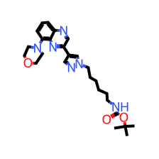 CC(C)(C)OC(=O)NCCCCCCn1cc(-c2cnc3cccc(N4CCOCC4)c3n2)cn1